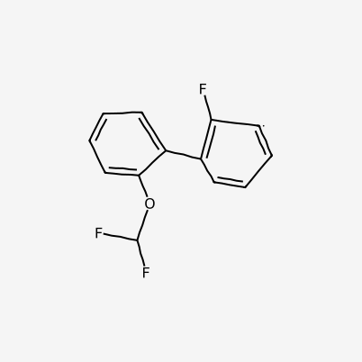 Fc1[c]cccc1-c1ccccc1OC(F)F